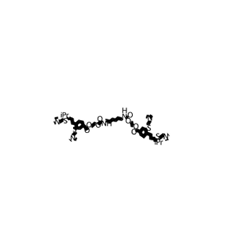 CC(C)C(CCC1CCC(C(=O)OCCOC(=O)NCCCCCCNC(=O)OCCOC(=O)C2CCC(CCC(SCCN(C)C)C(C)C)C(SCCN(C)C)C2)CC1SCCN(C)C)SCCN(C)C